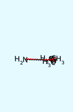 CO[Si](CCCCCCCCCCCCCCCCCCCCCCCCN)(OC)OC